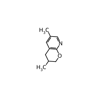 Cc1cnc2c(c1)CC(C)CO2